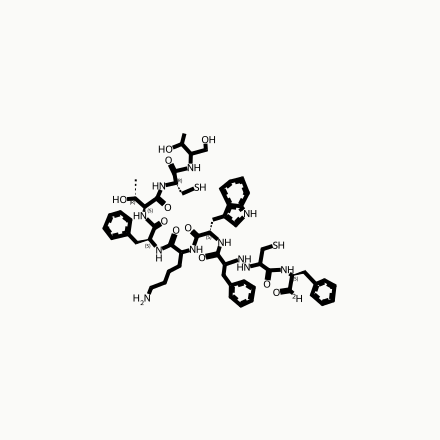 [2H]C(=O)[C@H](Cc1ccccc1)NC(=O)C(CS)NNC(Cc1ccccc1)C(=O)N[C@@H](Cc1c[nH]c2ccccc12)C(=O)NC(CCCCN)C(=O)N[C@@H](Cc1ccccc1)C(=O)N[C@H](C(=O)N[C@@H](CS)C(=O)NC(CO)C(C)O)[C@@H](C)O